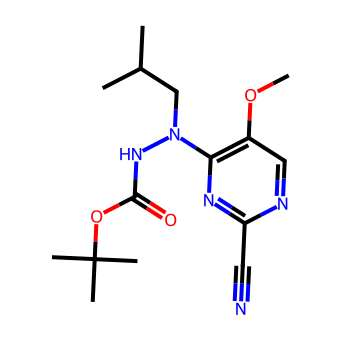 COc1cnc(C#N)nc1N(CC(C)C)NC(=O)OC(C)(C)C